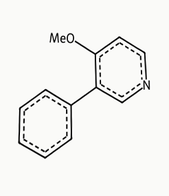 COc1ccncc1-c1ccccc1